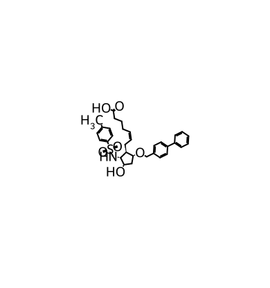 Cc1ccc(S(=O)(=O)N[C@@H]2[C@@H](C/C=C\CCCC(=O)O)[C@H](OCc3ccc(-c4ccccc4)cc3)C[C@H]2O)cc1